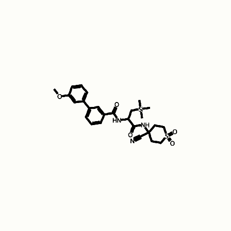 COc1cccc(-c2cccc(C(=O)NC(C[Si](C)(C)C)C(=O)NC3(C#N)CCS(=O)(=O)CC3)c2)c1